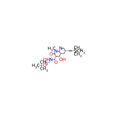 Cn1c(=O)c(C(=O)NCC(=O)OC(C)(C)C)c(O)c2cc(C#C[Si](C)(C)C)cnc21